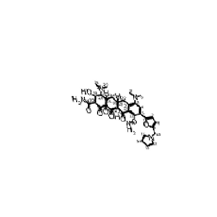 CN(C)c1cc(-c2ccc(CN3CCCC3)o2)c(ON)c2c1C[C@H]1C[C@H]3[C@H](N(C)C)C(O)=C(C(N)=O)C(=O)[C@@]3(O)C(O)=C1C2=O